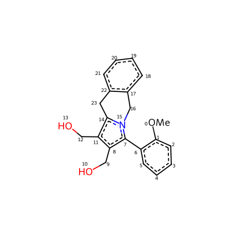 COc1ccccc1-c1c(CO)c(CO)c2n1Cc1ccccc1C2